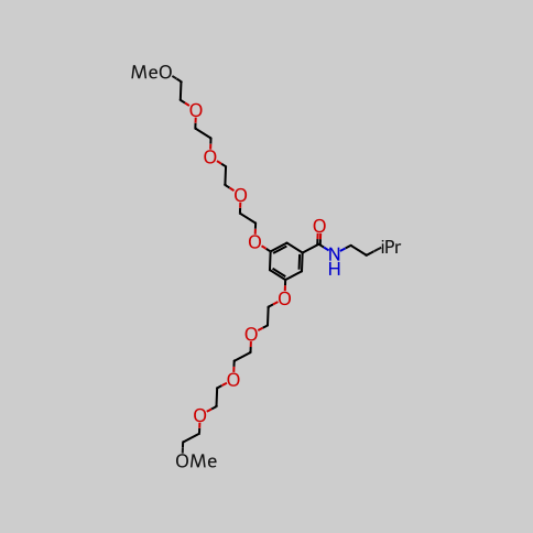 COCCOCCOCCOCCOc1cc(OCCOCCOCCOCCOC)cc(C(=O)NCCC(C)C)c1